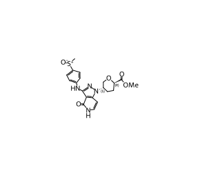 COC(=O)[C@H]1CC[C@H](n2nc(Nc3ccc([S+](C)[O-])cc3)c3c(=O)[nH]ccc32)CO1